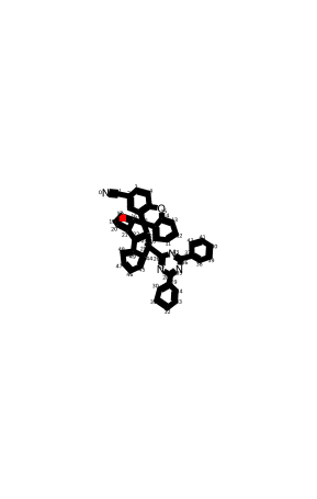 N#Cc1ccc2c(c1)C1(c3ccccc3O2)c2ccccc2-c2c1cc(-c1nc(-c3ccccc3)nc(-c3ccccc3)n1)c1ccccc21